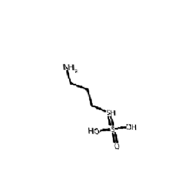 NCCC[SH]=S(=O)(O)O